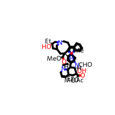 CC[C@]1(O)CC2C[N@](CCc3c([nH]c4ccccc34)[C@@](C(=O)OC)(c3cc4c(cc3OC)N(C=O)[C@H]3[C@@](O)(C(=O)OC)[C@H](OC(C)=O)[C@]5(CC)C=CCN6CC[C@]43[C@@H]65)C2)C1